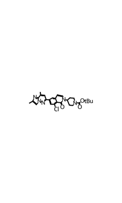 Cc1cn2nc(-c3cc(Cl)c4c(=O)n(C5CCN(C(=O)OC(C)(C)C)CC5)ccc4c3)cc(C)c2n1